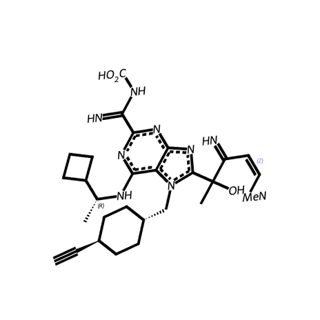 C#C[C@H]1CC[C@H](Cn2c(C(C)(O)C(=N)/C=C\NC)nc3nc(C(=N)NC(=O)O)nc(N[C@H](C)C4CCC4)c32)CC1